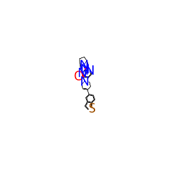 O=C(CN1CC2CCC(C1)N2c1ncccn1)N1CC=C(c2ccc3sccc3c2)CC1